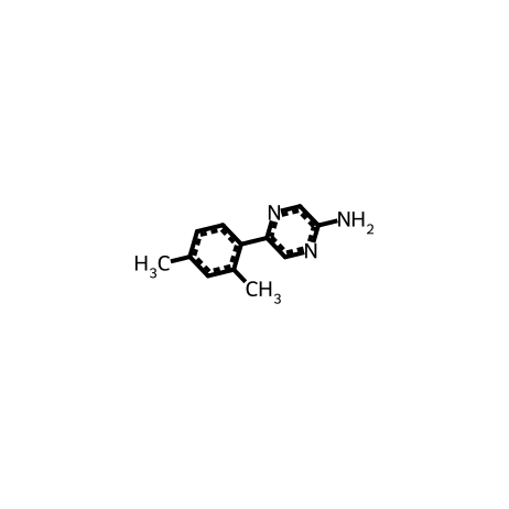 Cc1ccc(-c2cnc(N)cn2)c(C)c1